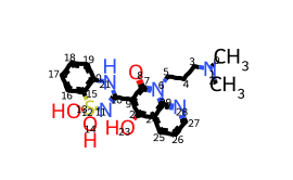 CN(C)CCCn1c(=O)c(C2=NS(O)(O)c3ccccc3N2)c(O)c2cccnc21